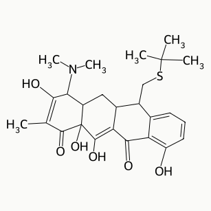 CC1=C(O)C(N(C)C)C2CC3C(=C(O)C2(O)C1=O)C(=O)c1c(O)cccc1C3CSC(C)(C)C